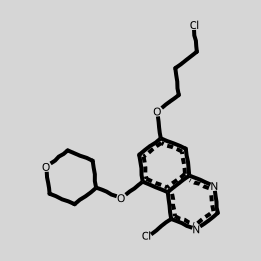 ClCCCOc1cc(OC2CCOCC2)c2c(Cl)ncnc2c1